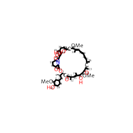 COC1CC(C[C@@H](C)[C@@H]2CC(=O)C(C)/C=C(\C)[C@@H](O)C(OC)C(=O)C(C)CC(C)/C=C/C=C/C=C(\C)[C@@H](OC)C[C@@H]3CCC(C)C(O)(O3)C(=O)C(=O)N3CCCCC3C(=O)O2)CC[C@H]1O